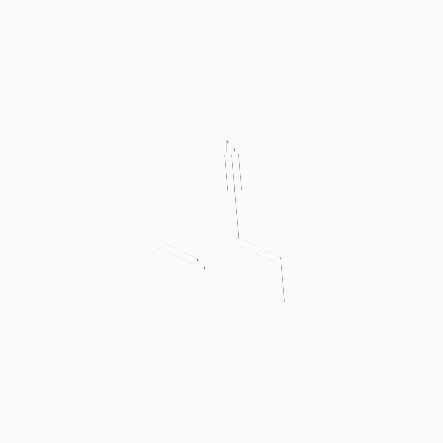 C=N/C(C#N)=C\C